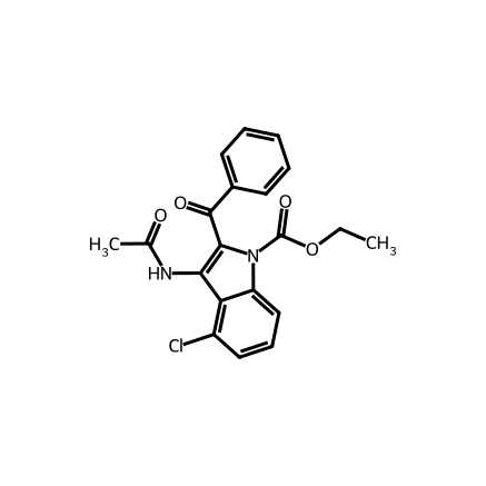 CCOC(=O)n1c(C(=O)c2ccccc2)c(NC(C)=O)c2c(Cl)cccc21